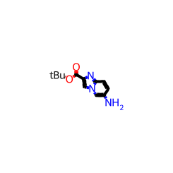 CC(C)(C)OC(=O)c1cn2cc(N)ccc2n1